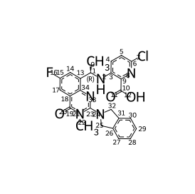 C[C@@H](Nc1ccc(Cl)nc1C(=O)O)c1cc(F)cc2c(=O)n(C)c(N3Cc4ccccc4C3)nc12